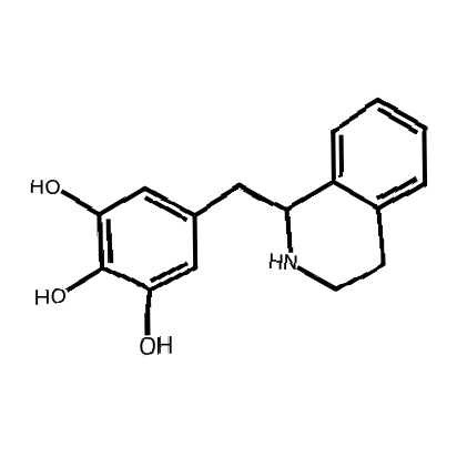 Oc1cc(CC2NCCc3ccccc32)cc(O)c1O